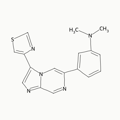 CN(C)c1cccc(-c2cn3c(-c4cscn4)cnc3cn2)c1